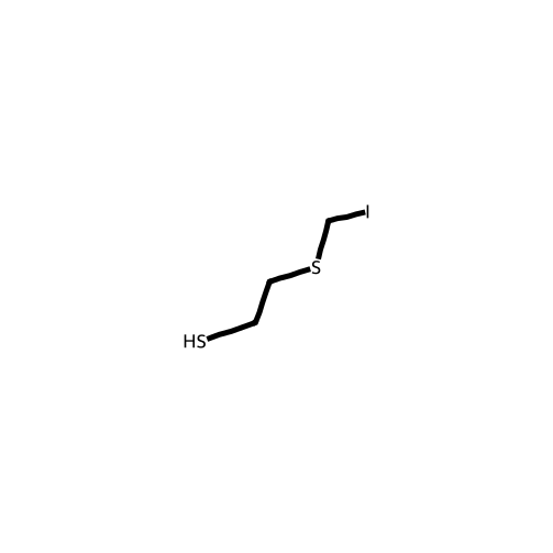 SCCSCI